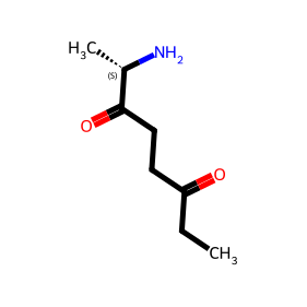 CCC(=O)CCC(=O)[C@H](C)N